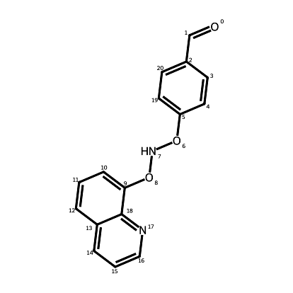 O=Cc1ccc(ONOc2cccc3cccnc23)cc1